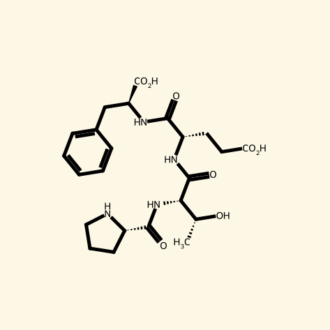 C[C@@H](O)[C@H](NC(=O)[C@@H]1CCCN1)C(=O)N[C@@H](CCC(=O)O)C(=O)N[C@@H](Cc1ccccc1)C(=O)O